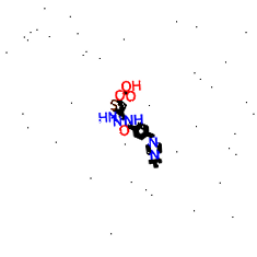 CC(C)(C)N1CCN(Cc2ccc(C(=O)Nc3n[nH]c4sc(OC(=O)O)cc34)cc2)CC1